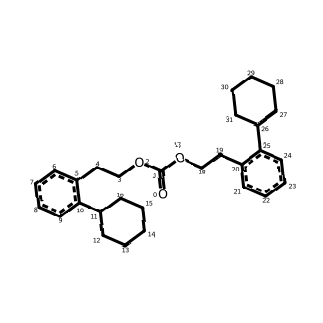 O=C(OCCc1ccccc1C1CCCCC1)OCCc1ccccc1C1CCCCC1